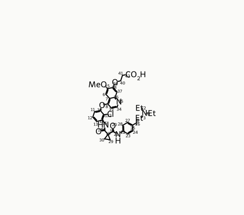 CCN(CC)CC.COc1cc2c(Oc3cccc(NC(=O)C4(C(=O)Nc5ccc(F)cc5)CC4)c3Cl)ccnc2cc1OCCC(=O)O